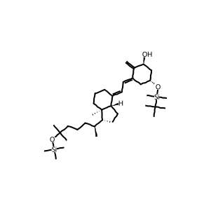 C=C1/C(=C/C=C2\CCC[C@]3(C)[C@@H]([C@@H](C)CCCC(C)(C)O[Si](C)(C)C)CC[C@@H]23)C[C@@H](O[Si](C)(C)C(C)(C)C)C[C@@H]1O